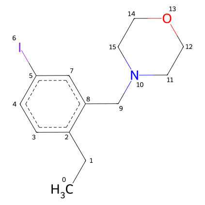 CCc1ccc(I)cc1CN1CCOCC1